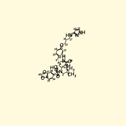 CC(C)CN(C[C@H](O)[C@H](Cc1ccc(OCCCNc2cc[nH]n2)cc1)NC(=O)O)S(=O)(=O)c1ccc2c(c1)OCO2